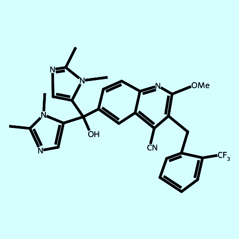 COc1nc2ccc(C(O)(c3cnc(C)n3C)c3cnc(C)n3C)cc2c(C#N)c1Cc1ccccc1C(F)(F)F